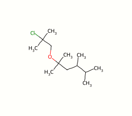 CC(C)C(C)CC(C)(C)OCC(C)(C)Cl